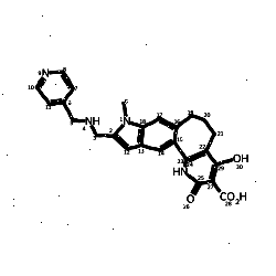 Cn1c(CNCc2ccncc2)cc2cc3c(cc21)CCCc1c-3[nH]c(=O)c(C(=O)O)c1O